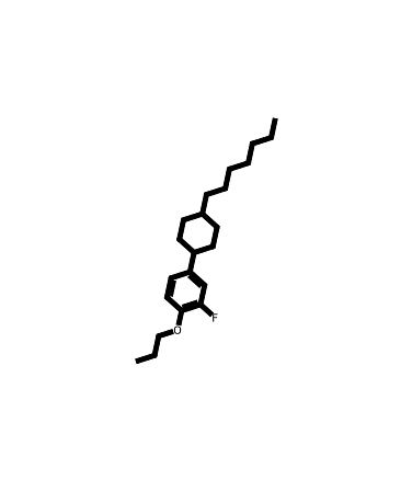 CCCCCCCC1CCC(c2ccc(OCCC)c(F)c2)CC1